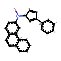 IN(c1ccc2ccc3ccccc3c2c1)C1C=CC(c2ccccc2)=C1